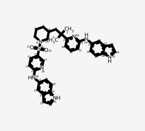 CC(C)(CC1CCCN(S(=O)(=O)c2ccc(Nc3ccc4[nH]ccc4c3)nc2)C1)c1cccc(Nc2ccc3[nH]ccc3c2)n1